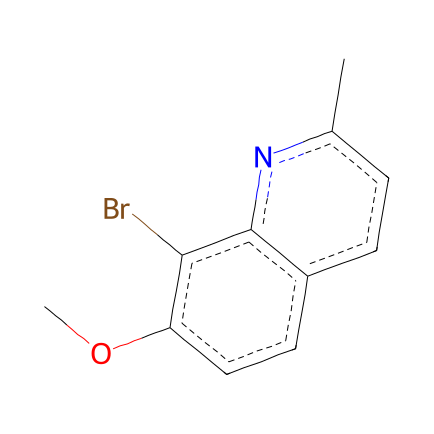 COc1ccc2ccc(C)nc2c1Br